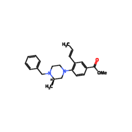 CC=Cc1cc(C(=O)OC)ccc1N1CCN(Cc2ccccc2)[C@H](C)C1